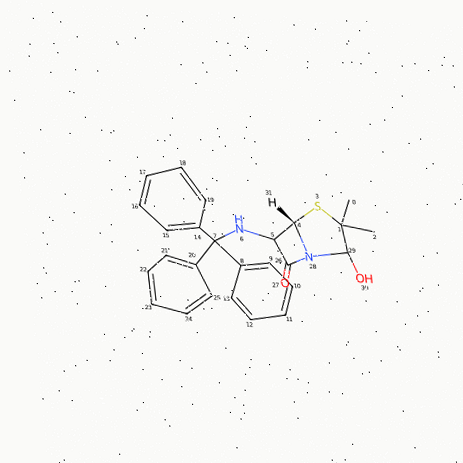 CC1(C)S[C@H]2C(NC(c3ccccc3)(c3ccccc3)c3ccccc3)C(=O)N2C1O